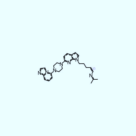 CC(C)=N/C=C\CCCn1ccc2ccc(N3CCN(c4cccc5nccn45)CC3)nc21